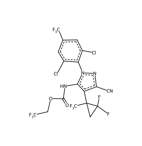 N#Cc1nn(-c2c(Cl)cc(C(F)(F)F)cc2Cl)c(NC(=O)OCC(F)(F)F)c1C1(C(F)(F)F)CC1(F)F